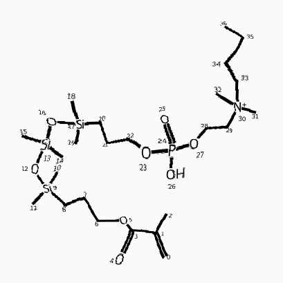 C=C(C)C(=O)OCCC[Si](C)(C)O[Si](C)(C)O[Si](C)(C)CCCOP(=O)(O)OCC[N+](C)(C)CCCC